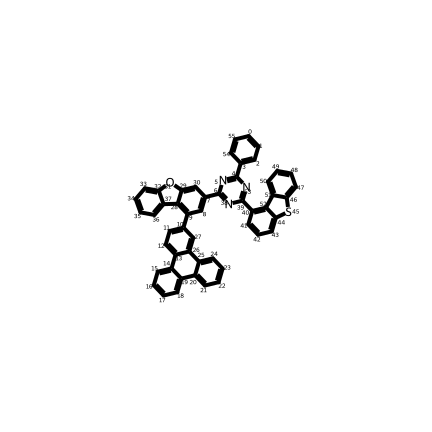 c1ccc(-c2nc(-c3cc(-c4ccc5c6ccccc6c6ccccc6c5c4)c4c(c3)oc3ccccc34)nc(-c3cccc4sc5ccccc5c34)n2)cc1